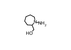 NN1CCCCCC1CO